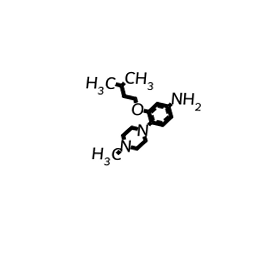 CC(C)CCOc1cc(N)ccc1N1CCN(C)CC1